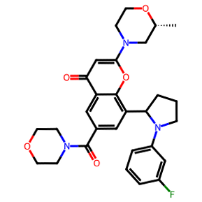 C[C@@H]1CN(c2cc(=O)c3cc(C(=O)N4CCOCC4)cc(C4CCCN4c4cccc(F)c4)c3o2)CCO1